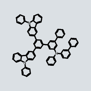 c1ccc(-c2cccc(N(c3ccccc3)c3cc(-c4ccccc4)cc(-c4cc(-c5ccc6c(c5)c5ccccc5n6-c5ccccc5)cc(-c5ccc6c(c5)c5ccccc5n6-c5ccccc5)c4)c3)c2)cc1